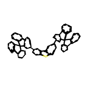 C1=CC2=C(CC1)C1(c3ccccc32)c2ccccc2-c2ccc(-c3ccc4sc5ccc(-c6ccc7c(c6)C6(c8ccccc8-c8ccccc86)c6ccccc6-7)cc5c4c3)cc21